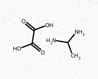 CC(N)N.O=C(O)C(=O)O